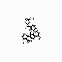 CCCCc1nc2ccc(C(=O)C(C)CC(=O)O)cc2n1-c1cccc(-c2ccccc2C(=O)O)c1C